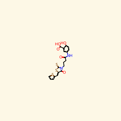 O=C(CCCN1C(=O)/C(=C/c2cccs2)SC1=S)Nc1ccc(O)c(C(=O)O)c1